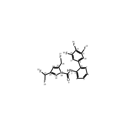 O=C(Nc1ccccc1-c1cc(F)c(F)c(F)c1)n1nc(C(F)F)[c]c1CF